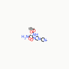 CN1CCC(N2CCN(C(=O)[C@@H](CC(N)=O)NC(=O)OC(C)(C)C)CC2)CC1